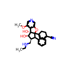 CCNC[C@@H]1C(c2ccccc2)C2(C3=CC=C(C#N)CC3)Oc3cncc(OC)c3[C@]2(O)[C@@H]1O